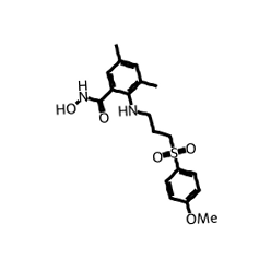 COc1ccc(S(=O)(=O)CCCNc2c(C)cc(C)cc2C(=O)NO)cc1